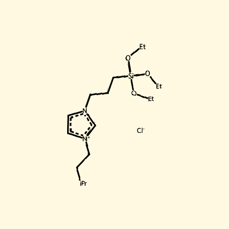 CCO[Si](CCCn1cc[n+](CCC(C)C)c1)(OCC)OCC.[Cl-]